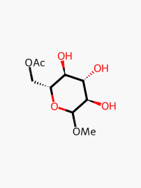 COC1O[C@H](COC(C)=O)[C@@H](O)[C@H](O)[C@H]1O